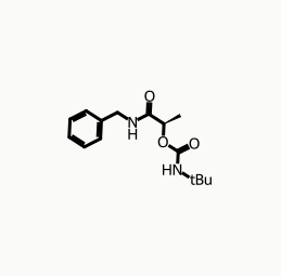 C[C@@H](OC(=O)NC(C)(C)C)C(=O)NCc1ccccc1